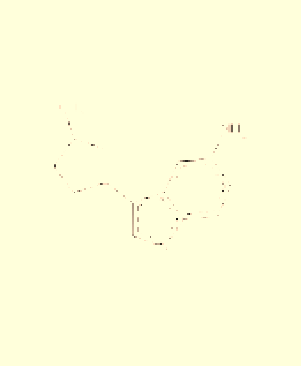 CC1CCC(c2c[nH]c3ccc(N)cc23)C1